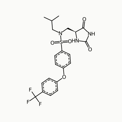 CC(C)CN(C[C@@H]1NC(=O)NC1=O)S(=O)(=O)c1ccc(Oc2ccc(C(F)(F)F)cc2)cc1